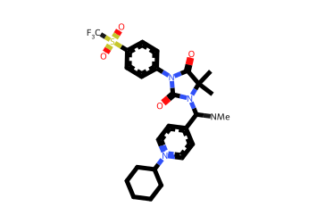 CNC(c1cc[n+](C2CCCCC2)cc1)N1C(=O)N(c2ccc(S(=O)(=O)C(F)(F)F)cc2)C(=O)C1(C)C